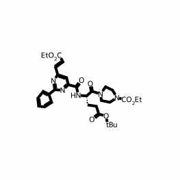 CCOC(=O)C=Cc1cc(C(=O)N[C@@H](CCC(=O)OC(C)(C)C)C(=O)N2CCN(C(=O)OCC)CC2)nc(-c2ccccc2)n1